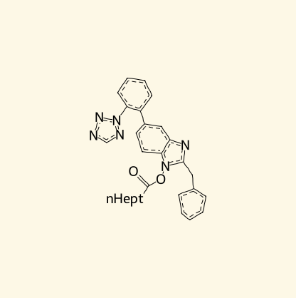 CCCCCCCC(=O)On1c(Cc2ccccc2)nc2cc(-c3ccccc3-n3ncnn3)ccc21